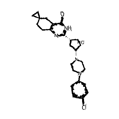 Cl.O=c1[nH]c([C@@H]2CC[C@H](N3CCN(c4ccc(Cl)cc4)CC3)C2)nc2c1CC1(CC2)CC1